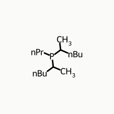 CCCCC(C)P(CCC)C(C)CCCC